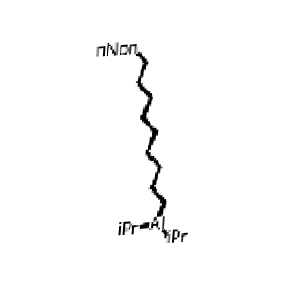 CCCCCCCCCCCCCCCCC[CH2][Al]([CH](C)C)[CH](C)C